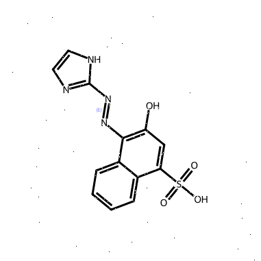 O=S(=O)(O)c1cc(O)c(/N=N/c2ncc[nH]2)c2ccccc12